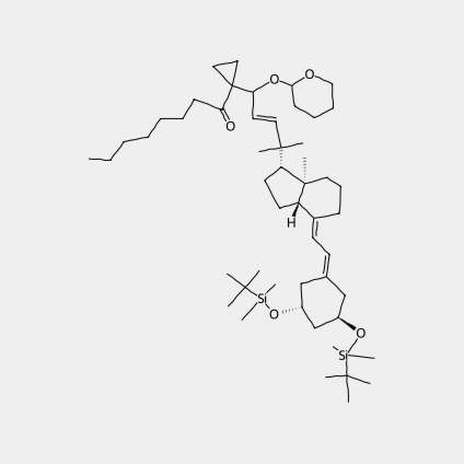 CCCCCCCC(=O)C1(C(/C=C/C(C)(C)[C@H]2CC[C@H]3/C(=C/C=C4C[C@@H](O[Si](C)(C)C(C)(C)C)C[C@H](O[Si](C)(C)C(C)(C)C)C4)CCC[C@]23C)OC2CCCCO2)CC1